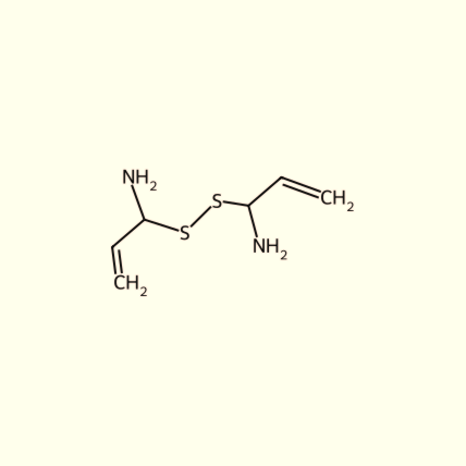 C=CC(N)SSC(N)C=C